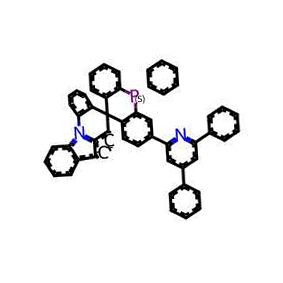 c1ccc(-c2cc(-c3ccccc3)nc(-c3ccc4c(c3)[P@](c3ccccc3)c3ccccc3C43c4ccccc4-n4c5ccccc5c5cccc3c54)c2)cc1